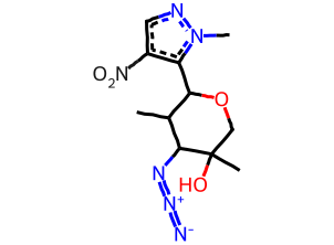 CC1C(c2c([N+](=O)[O-])cnn2C)OCC(C)(O)C1N=[N+]=[N-]